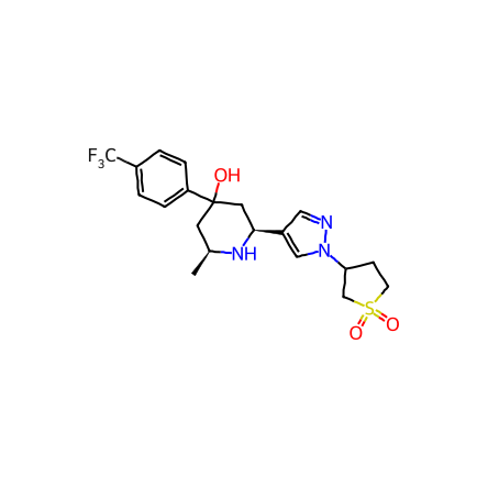 C[C@H]1CC(O)(c2ccc(C(F)(F)F)cc2)C[C@@H](c2cnn(C3CCS(=O)(=O)C3)c2)N1